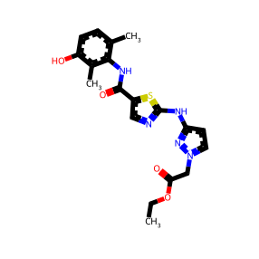 CCOC(=O)Cn1ccc(Nc2ncc(C(=O)Nc3c(C)ccc(O)c3C)s2)n1